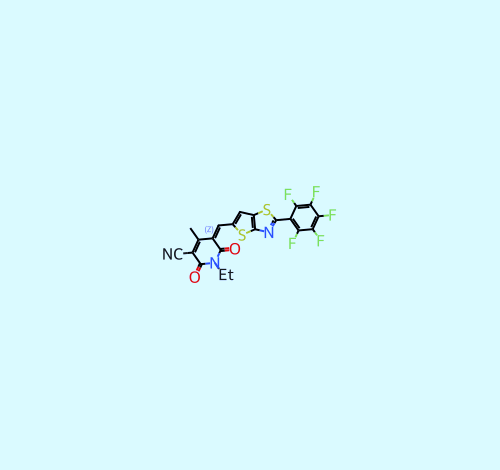 CCN1C(=O)C(C#N)=C(C)/C(=C/c2cc3sc(-c4c(F)c(F)c(F)c(F)c4F)nc3s2)C1=O